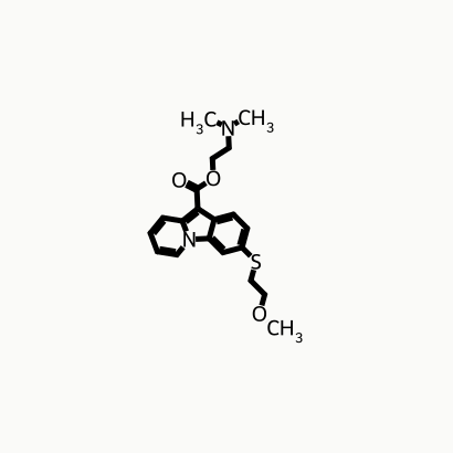 COCCSc1ccc2c(C(=O)OCCN(C)C)c3ccccn3c2c1